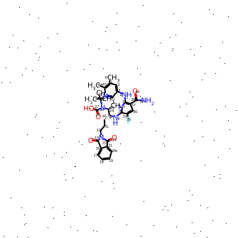 Cc1cc(Nc2nc(N[C@H](CCCN3C(=O)c4ccccc4C3=O)[C@H](C)N(C(=O)O)C(C)(C)C)c(F)cc2C(N)=O)cnc1C